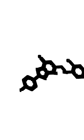 O=c1cc(CNc2ccccc2Cl)[nH]c2nc(-c3ccc(F)cc3)nn12